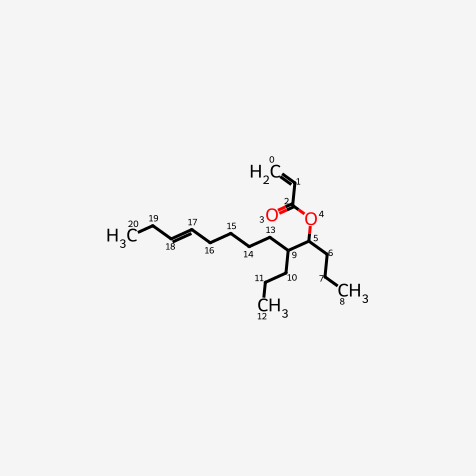 C=CC(=O)OC(CCC)C(CCC)CCCCC=CCC